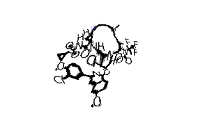 COc1ccc2c(O[C@@H]3C[C@H]4C(=O)N[C@]5(C(=O)NS(=O)(=O)C6CC6)C[C@H]5/C=C\CC[C@@H](C)C[C@@H](C)[C@H](N(C(=O)O)C(C)(C)C(F)(F)F)C(=O)N4C3)nc(-c3ccc(OC)c(Cl)c3)cc2c1